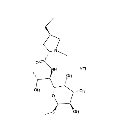 CC[C@@H]1C[C@@H](C(=O)N[C@@H]([C@H]2O[C@H](SC)[C@H](O)[C@@H](O)[C@H]2O)[C@@H](C)O)N(C)C1.Cl